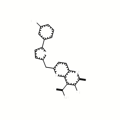 NC(=O)c1c(O)c(=O)[nH]c2ccc(Cc3ccc(-c4cccc(O)c4)s3)nc12